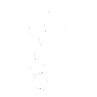 O=C(O)OCC(OC(=O)O)C(CSc1nc2ccccc2[nH]1)OC(=O)O